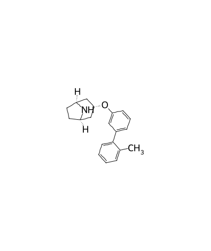 Cc1ccccc1-c1cccc(O[C@@H]2C[C@H]3CC[C@@H](C2)N3)c1